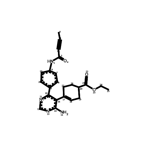 CC#CC(=O)Nc1ccc(-c2ncnc(N)c2C2=CCC(C(=O)OCC)CC2)cc1